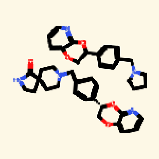 O=C1NCCC12CCN(Cc1ccc([C@H]3COc4cccnc4O3)cc1)CC2.c1cnc2c(c1)OC[C@H](c1ccc(CN3CCCC3)cc1)O2